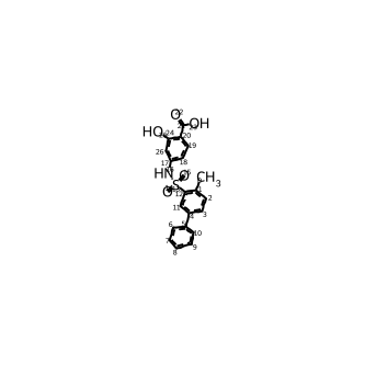 Cc1ccc(-c2ccccc2)cc1S(=O)(=O)Nc1ccc(C(=O)O)c(O)c1